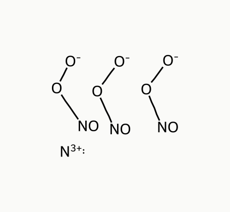 O=NO[O-].O=NO[O-].O=NO[O-].[N+3]